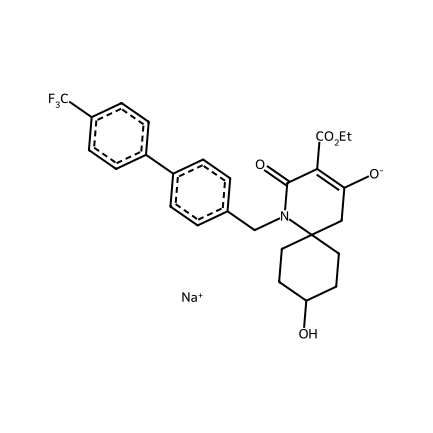 CCOC(=O)C1=C([O-])CC2(CCC(O)CC2)N(Cc2ccc(-c3ccc(C(F)(F)F)cc3)cc2)C1=O.[Na+]